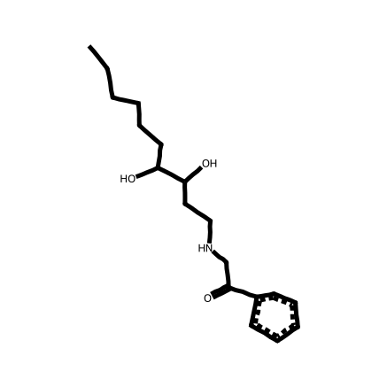 CCCCCCC(O)C(O)CCNCC(=O)c1ccccc1